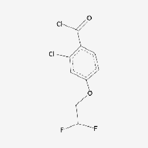 O=C(Cl)c1ccc(OCC(F)F)cc1Cl